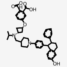 CC(C)N(CC1CCN(c2ccc(C3c4ccc(O)cc4CCC3c3ccccc3)cc2)CC1)[C@H]1C[C@H](Oc2ccc(C(=O)O)c(C(=O)O)c2)C1